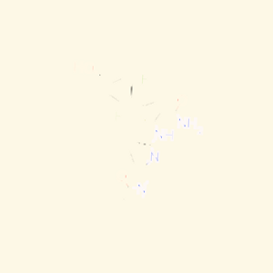 CC(C)(O)c1cc(F)c(-c2cc(C(N)=O)c(Nc3cccc(CN4CCCC4=O)n3)s2)c(F)c1